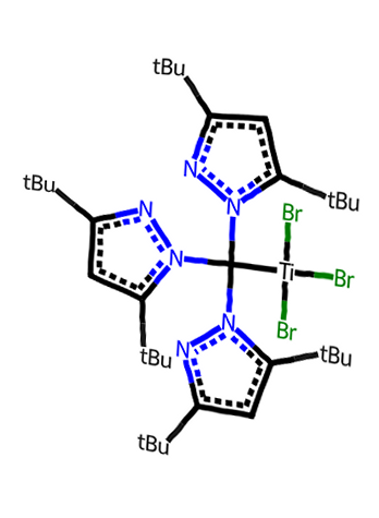 CC(C)(C)c1cc(C(C)(C)C)n([C](n2nc(C(C)(C)C)cc2C(C)(C)C)(n2nc(C(C)(C)C)cc2C(C)(C)C)[Ti]([Br])([Br])[Br])n1